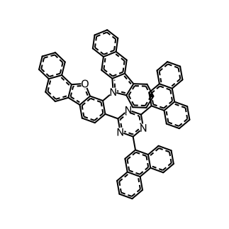 c1ccc2cc3c(cc2c1)c1ccccc1n3-c1c(-c2nc(-c3cc4ccccc4c4ccccc34)nc(-c3cc4ccccc4c4ccccc34)n2)ccc2c1oc1c3ccccc3ccc21